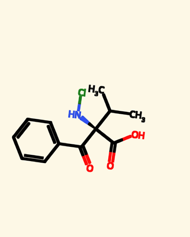 CC(C)[C@](NCl)(C(=O)O)C(=O)c1ccccc1